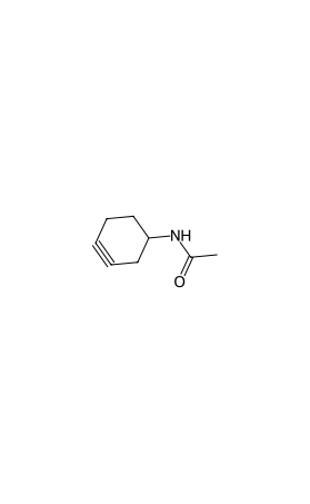 CC(=O)NC1CC#CCC1